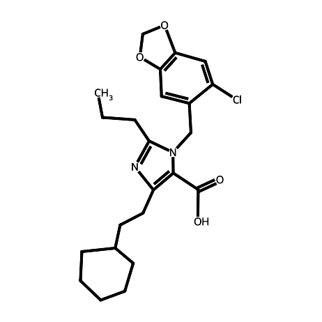 CCCc1nc(CCC2CCCCC2)c(C(=O)O)n1Cc1cc2c(cc1Cl)OCO2